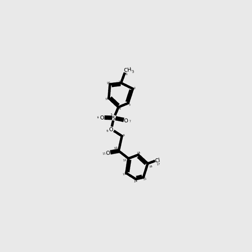 Cc1ccc(S(=O)(=O)OCC(=O)c2cccc(Cl)c2)cc1